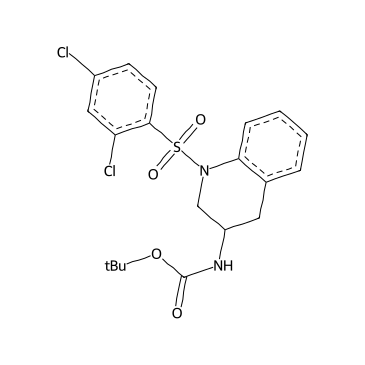 CC(C)(C)OC(=O)NC1Cc2ccccc2N(S(=O)(=O)c2ccc(Cl)cc2Cl)C1